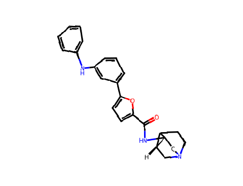 O=C(N[C@H]1CN2CCC1CC2)c1ccc(-c2cccc(Nc3ccccc3)c2)o1